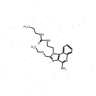 CCCNC(=O)NCCn1c(COCC)nc2c(N)nc3ccccc3c21